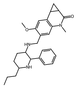 CCCC1CCC(NCc2cc3c(cc2OC)C2CC2C(=O)N3C)C(c2ccccc2)N1